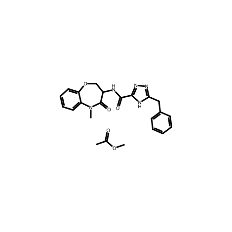 CN1C(=O)C(NC(=O)c2nnc(Cc3ccccc3)[nH]2)COc2ccccc21.COC(C)=O